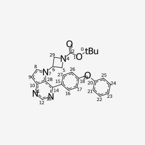 CC(C)(C)OC(=O)N1CC(n2ccc3ncnc(-c4ccc(Oc5ccccc5)cc4)c32)C1